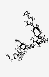 CC(=O)N1CCN(c2ccc(-c3n[nH]cc3C(=O)Nc3cc(Br)cc(NS(C)(=O)=O)c3)nc2)CC1